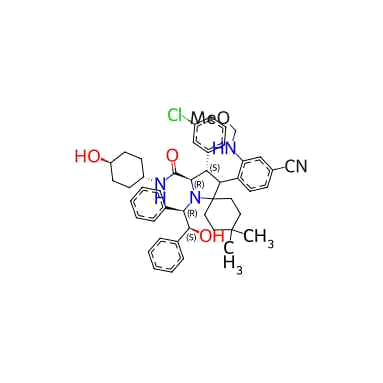 COCNc1cc(C#N)ccc1C1[C@@H](c2cccc(Cl)c2)[C@H](C(=O)N[C@H]2CC[C@H](O)CC2)N([C@H](c2ccccc2)[C@@H](O)c2ccccc2)C12CCC(C)(C)CC2